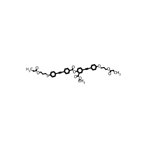 C=CC(=O)OCCCOc1ccc(C#Cc2ccc(OC(=O)c3ccc(C#Cc4ccc(SCCCOC(=O)C=C)cc4)cc3)c(C(=O)OC)c2)cc1